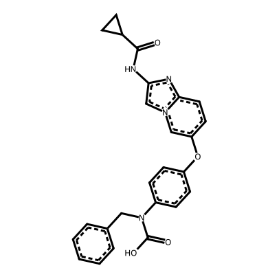 O=C(Nc1cn2cc(Oc3ccc(N(Cc4ccccc4)C(=O)O)cc3)ccc2n1)C1CC1